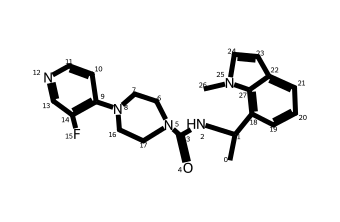 CC(NC(=O)N1CCN(c2ccncc2F)CC1)c1cccc2ccn(C)c12